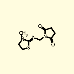 CN1CCSC1=NCN1C(=O)CCC1=O